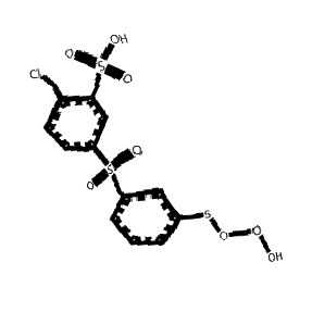 O=S(=O)(O)c1cc(S(=O)(=O)c2cccc(SOOO)c2)ccc1Cl